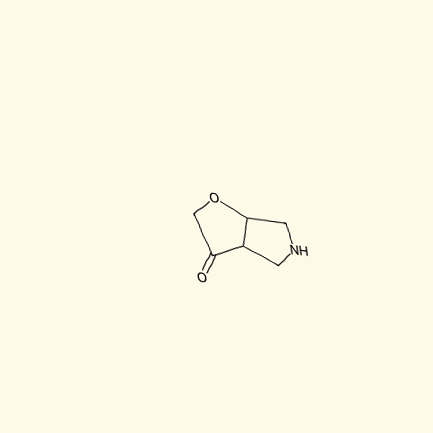 O=C1COC2CNCC12